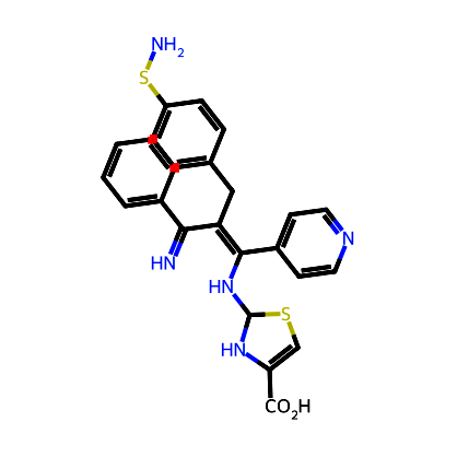 N=C(/C(Cc1ccc(SN)cc1)=C(\NC1NC(C(=O)O)=CS1)c1ccncc1)c1ccccc1